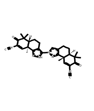 [C-]#[N+]C1=C[C@]2(C)c3nn(-c4[nH]nc5c4CC[C@H]4C(C)(C)C(=O)C([N+]#[C-])=C[C@]54C)cc3CC[C@H]2C(C)(C)C1=O